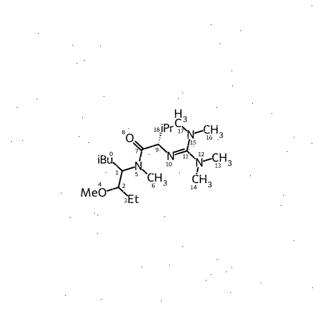 CCC(C)C(C(CC)OC)N(C)C(=O)[C@@H](N=C(N(C)C)N(C)C)C(C)C